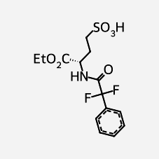 CCOC(=O)[C@H](CCS(=O)(=O)O)NC(=O)C(F)(F)c1ccccc1